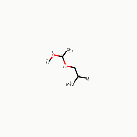 CCOC(C)OCC(CC)OC